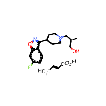 C[C@@H](CO)CN1CCC(c2noc3cc(F)ccc23)CC1.O=C(O)/C=C/C(=O)O